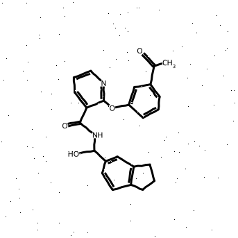 CC(=O)c1cccc(Oc2ncccc2C(=O)NC(O)c2ccc3c(c2)CCC3)c1